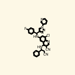 N#CCC(Nc1c(C#N)cnc2c(Cl)cc(NC(c3ccc(F)cc3)c3cn(-c4cccnc4)nn3)cc12)c1ccccc1